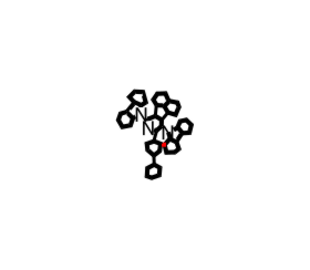 c1ccc(-c2ccc(-c3nc(-n4c5ccccc5c5ccccc54)c4c(c3-n3c5ccccc5c5ccccc53)-c3cccc5cccc-4c35)cc2)cc1